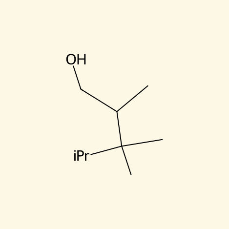 CC(C)C(C)(C)C(C)CO